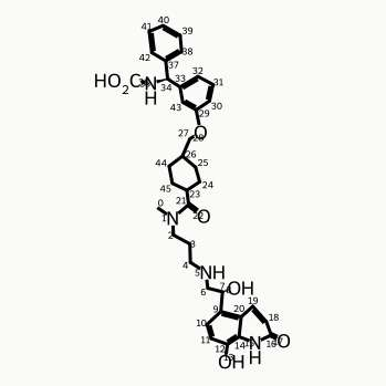 CN(CCCNC[C@H](O)c1ccc(O)c2[nH]c(=O)ccc12)C(=O)C1CCC(COc2cccc([C@@H](NC(=O)O)c3ccccc3)c2)CC1